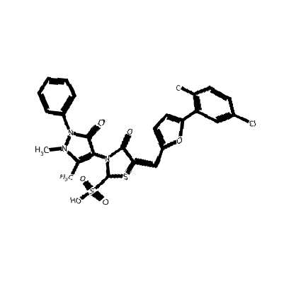 Cc1c(N2C(=O)C(=Cc3ccc(-c4cc(Cl)ccc4Cl)o3)SC2S(=O)(=O)O)c(=O)n(-c2ccccc2)n1C